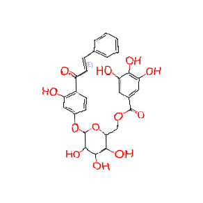 O=C(OCC1OC(Oc2ccc(C(=O)/C=C/c3ccccc3)c(O)c2)C(O)C(O)C1O)c1cc(O)c(O)c(O)c1